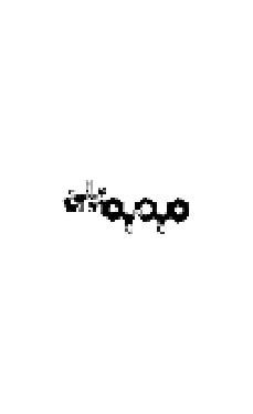 O=C(c1ccccc1)C1CCCN(C(=O)c2ccc(S(=O)(=O)Nc3nccs3)cc2)C1